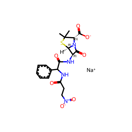 CC1(C)S[C@@H]2[C@H](NC(=O)C(NC(=O)CC[N+](=O)[O-])c3ccccc3)C(=O)N2[C@H]1C(=O)[O-].[Na+]